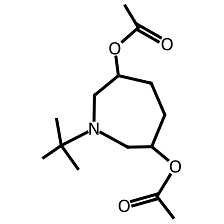 CC(=O)OC1CCC(OC(C)=O)CN(C(C)(C)C)C1